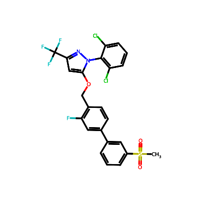 CS(=O)(=O)c1cccc(-c2ccc(COc3cc(C(F)(F)F)nn3-c3c(Cl)cccc3Cl)c(F)c2)c1